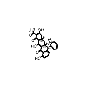 NC(=O)C1=C(O)C[C@@H]2C[C@H]3C(=C(O)C2C1=O)C(=O)c1c(O)cccc1[C@@H]3C1=CC=CCN1